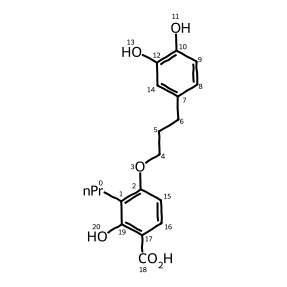 CCCc1c(OCCCc2ccc(O)c(O)c2)ccc(C(=O)O)c1O